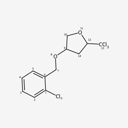 Clc1ccccc1COC1COC(C(Cl)(Cl)Cl)C1